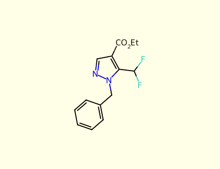 CCOC(=O)c1cnn(Cc2ccccc2)c1C(F)F